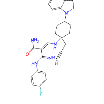 C#CCC1(N/C=C(\C(=N)Nc2ccc(F)cc2)C(N)=O)CCC(N2CCc3ccccc32)CC1